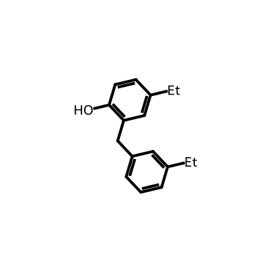 CCc1cccc(Cc2cc(CC)ccc2O)c1